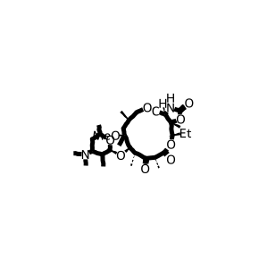 CC[C@H]1OC(=O)[C@H](C)C(=O)[C@H](C)[C@@H](O[C@@H]2OC(C)CC(N(C)C)C2C)[C@](C)(OC)C[C@@H](C)COC[C@H]2NC(=O)O[C@@]21C